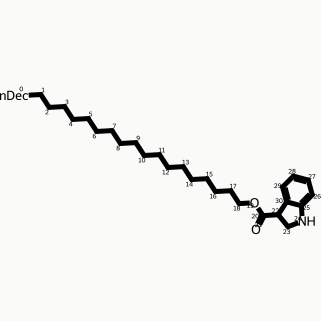 CCCCCCCCCCCCCCCCCCCCCCCCCCCCOC(=O)C1CNc2ccccc21